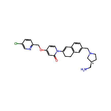 NC[C@@H]1CCN(Cc2ccc3c(c2)CCC(n2ccc(OCc4ccc(Cl)cn4)cc2=O)=C3)C1